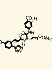 COOSCC[C@H](NC(=O)/C=C/c1cc(Cl)ccc1-n1cnnn1)C(=O)Nc1ccc(C(=O)O)cc1